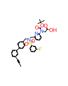 CC#Cc1cccc(-c2ccc(CN(Cc3cccc(N(CC(=O)O)C(=O)OC(C)(C)C)n3)S(=O)(=O)c3cccc(F)c3)cc2)c1